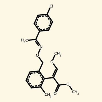 CO/C=C(/C(=O)OC)c1c(C)cccc1CO/N=C(\C)c1ccc(Cl)cc1